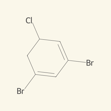 ClC1C=C(Br)C=C(Br)C1